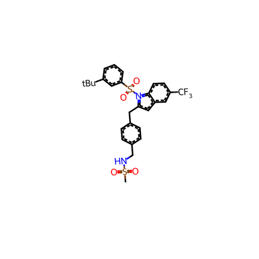 CC(C)(C)c1cccc(S(=O)(=O)n2c(Cc3ccc(CNS(C)(=O)=O)cc3)cc3cc(C(F)(F)F)ccc32)c1